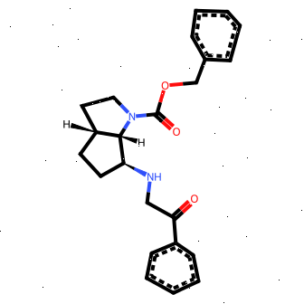 O=C(CN[C@H]1CC[C@@H]2CCN(C(=O)OCc3ccccc3)[C@@H]21)c1ccccc1